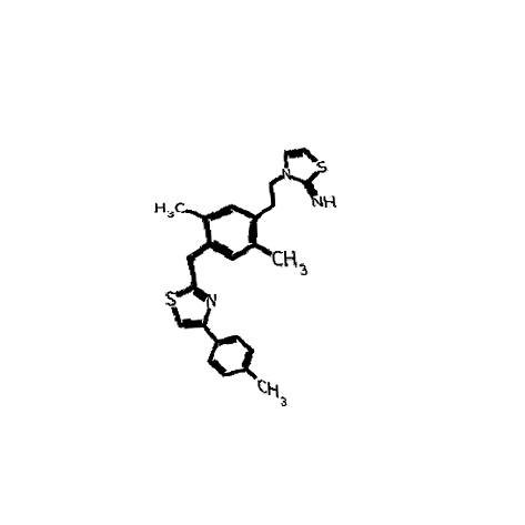 Cc1ccc(-c2csc(Cc3cc(C)c(CCn4ccsc4=N)cc3C)n2)cc1